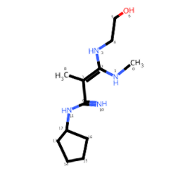 CN/C(NCCO)=C(/C)C(=N)NC1CCCC1